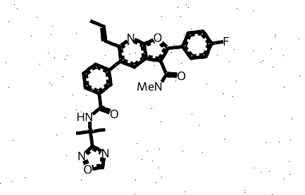 CC=Cc1nc2oc(-c3ccc(F)cc3)c(C(=O)NC)c2cc1-c1cccc(C(=O)NC(C)(C)c2ncon2)c1